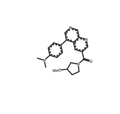 COC1CCN(C(=O)c2cnc3cncc(-c4ccc(N(C)C)cc4)c3c2)C1